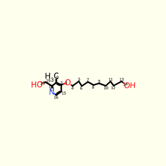 Cc1c(OCCCCCCCCCCO)ccnc1CO